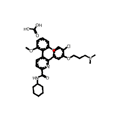 COc1cccc(OC)c1-c1ccc(C(=O)NC2CCCCC2)nc1-c1ccc(Cl)c(OCCCN(C)C)c1.O=C(O)O